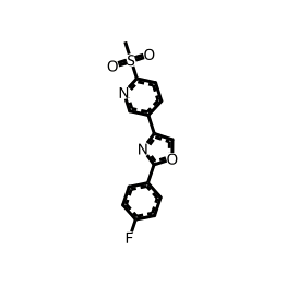 CS(=O)(=O)c1ccc(-c2coc(-c3ccc(F)cc3)n2)cn1